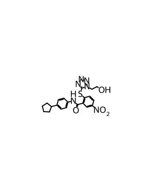 O=C(Nc1ccc(C2CCCC2)cc1)c1cc([N+](=O)[O-])ccc1Sc1nnnn1CCO